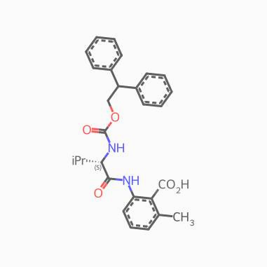 Cc1cccc(NC(=O)[C@@H](NC(=O)OCC(c2ccccc2)c2ccccc2)C(C)C)c1C(=O)O